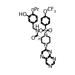 CCCc1ccc(CNC(=O)[C@H]2CN(c3cnc4cncnc4n3)CCN2S(=O)(=O)c2ccc(OC(F)(F)F)cc2)cc1O